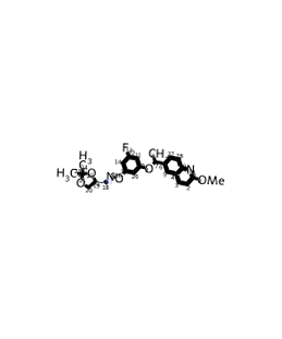 COc1ccc2cc(C(C)Oc3cc(F)cc(O/N=C/[C@@H]4COC(C)(C)O4)c3)ccc2n1